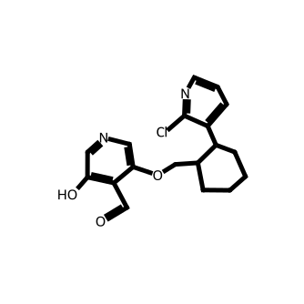 O=Cc1c(O)cncc1OCC1CCCCC1c1cccnc1Cl